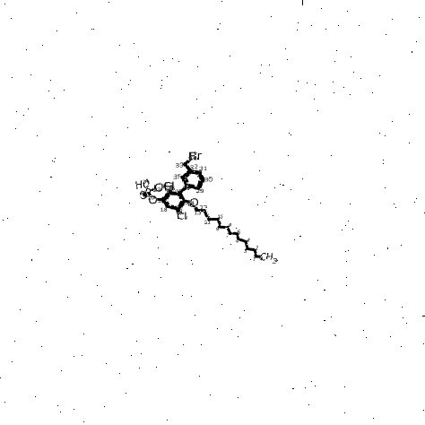 CCCCCCCCCCCCCCOc1c(Cl)cc(OP(=O)(O)O)c(Cl)c1-c1cccc(CBr)c1